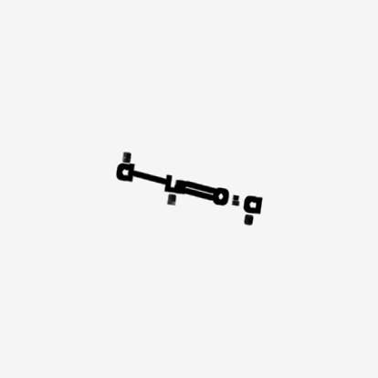 [C].[O]=[La][Cl]